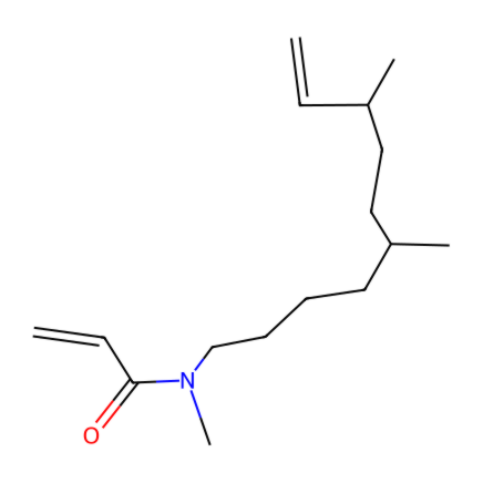 C=CC(=O)N(C)CCCCC(C)CCC(C)C=C